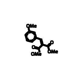 COC(=O)C(=Cc1cccc(OC)c1)C(=O)OC